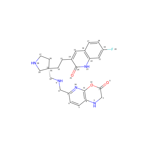 O=C1CNc2ccc(CNC[C@@]3(CCc4cc5ccc(F)cc5[nH]c4=O)CCNC3)nc2O1